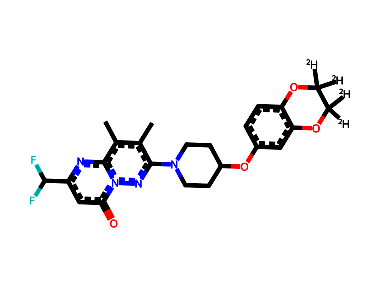 [2H]C1([2H])Oc2ccc(OC3CCN(c4nn5c(=O)cc(C(F)F)nc5c(C)c4C)CC3)cc2OC1([2H])[2H]